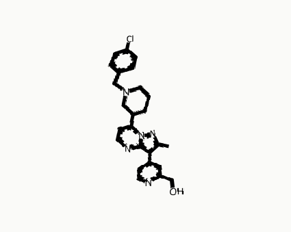 Cc1nn2c(C3CCCN(Cc4ccc(Cl)cc4)C3)ccnc2c1-c1ccnc(CO)c1